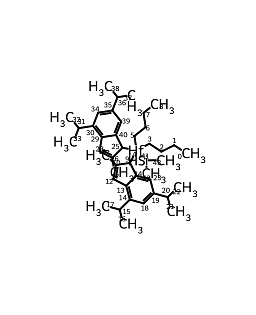 CCC[CH2][Hf]([CH2]CCC)([CH]1C(C)=Cc2c(C(C)C)cc(C(C)C)cc21)([CH]1C(C)=Cc2c(C(C)C)cc(C(C)C)cc21)[SiH](C)C